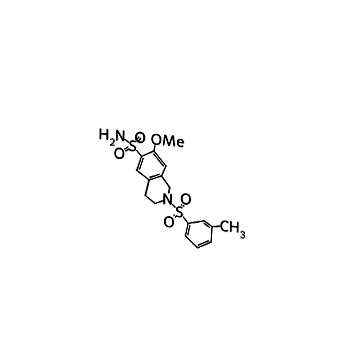 COc1cc2c(cc1S(N)(=O)=O)CCN(S(=O)(=O)c1cccc(C)c1)C2